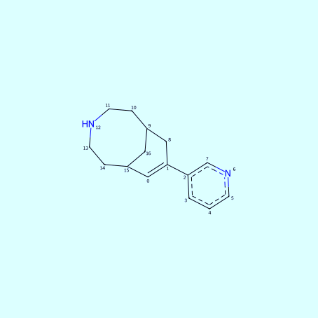 C1=C(c2cccnc2)CC2CCNCCC1C2